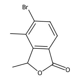 Cc1c(Br)ccc2c1C(C)OC2=O